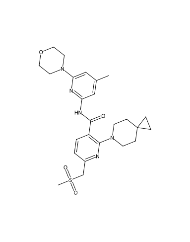 Cc1cc(NC(=O)c2ccc(CS(C)(=O)=O)nc2N2CCC3(CC2)CC3)nc(N2CCOCC2)c1